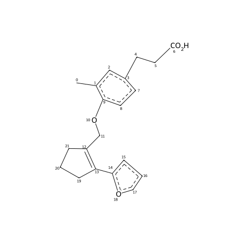 Cc1cc(CCC(=O)O)ccc1OCC1=C(c2ccco2)CCC1